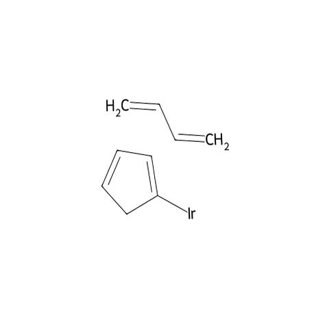 C=CC=C.[Ir][C]1=CC=CC1